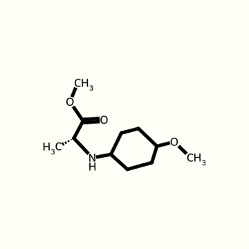 COC(=O)[C@@H](C)NC1CCC(OC)CC1